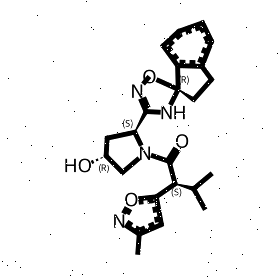 Cc1cc([C@@H](C(=O)N2C[C@H](O)C[C@H]2C2=NO[C@@]3(CCc4ccccc43)N2)C(C)C)on1